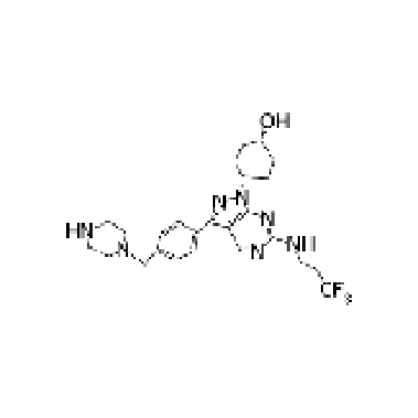 O[C@H]1CC[C@H](n2nc(-c3ccc(CN4CCNCC4)cc3)c3cnc(NCCC(F)(F)F)nc32)CC1